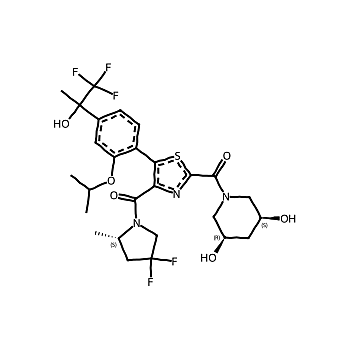 CC(C)Oc1cc(C(C)(O)C(F)(F)F)ccc1-c1sc(C(=O)N2C[C@H](O)C[C@H](O)C2)nc1C(=O)N1CC(F)(F)C[C@@H]1C